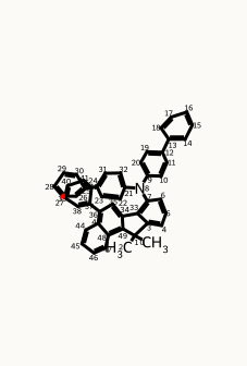 CC1(C)c2cccc(N(c3ccc(-c4ccccc4)cc3)c3ccc(-c4ccccc4)cc3)c2-c2cc(-c3ccccc3)c3ccccc3c21